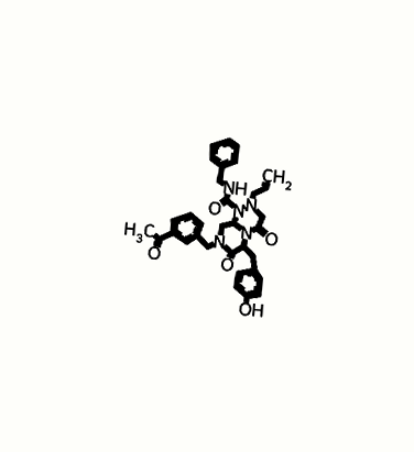 C=CCN1CC(=O)N2C(Cc3ccc(O)cc3)C(=O)N(Cc3cccc(C(C)=O)c3)CC2N1C(=O)NCc1ccccc1